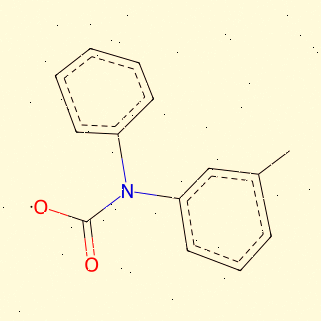 Cc1cccc(N(C([O])=O)c2ccccc2)c1